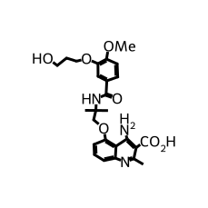 COc1ccc(C(=O)NC(C)(C)COc2cccc3nc(C)c(C(=O)O)c(N)c23)cc1OCCCO